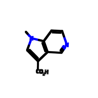 Cn1cc(C(=O)O)c2cnccc21